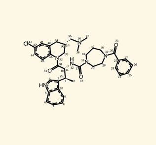 C[C@@H](c1c[nH]c2ccccc12)[C@@H](NC(=O)N1CCCN(C(=O)c2ccccc2)CC1)C(=O)N1C[C@@H](CN(C)C)Cc2cc(Cl)ccc21